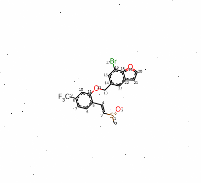 C[S+]([O-])C=Cc1ccc(C(F)(F)F)cc1OCc1cc(Br)c2occc2c1